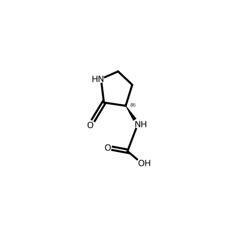 O=C(O)N[C@@H]1CCNC1=O